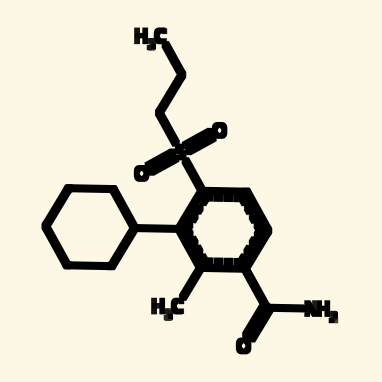 CCCS(=O)(=O)c1ccc(C(N)=O)c(C)c1C1CCCCC1